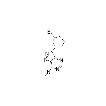 CCC1CCCC(n2nnc3c(N)ncnc32)C1